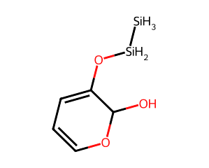 OC1OC=CC=C1O[SiH2][SiH3]